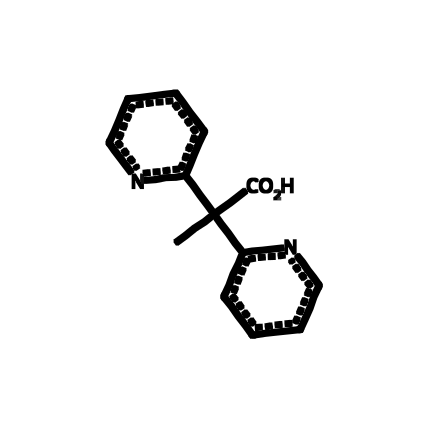 CC(C(=O)O)(c1ccccn1)c1ccccn1